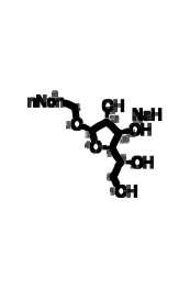 CCCCCCCCCCO[C@@H]1O[C@@H]([C@H](O)CO)[C@H](O)[C@H]1O.[NaH]